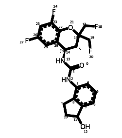 O=C(Nc1cccc2c1CCC2O)N[C@@H]1CC(CF)(CF)Oc2c(F)cc(F)cc21